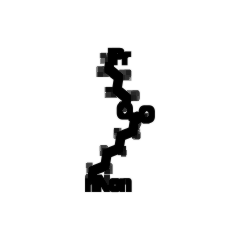 CCCCCCCCCCCCCCCC(=O)OCCCCC(C)C